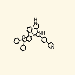 C1=CC(C2NC(c3ccc(-c4ccncc4)cc3)=C[C@H]2n2c3ccccc3c3c4oc(-c5ccccc5)c(-c5ccccc5)c4ccc32)=CCN1